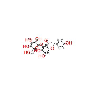 O=C1CC(c2ccc(O)cc2)Oc2cc(O)c(O)c(OC3OC(CO)C(O)C(O)C3O)c21